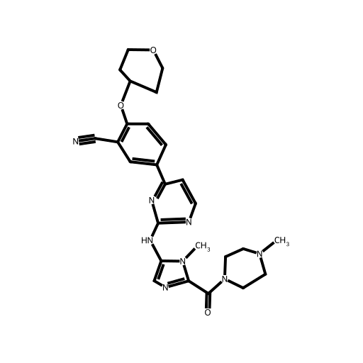 CN1CCN(C(=O)c2ncc(Nc3nccc(-c4ccc(OC5CCOCC5)c(C#N)c4)n3)n2C)CC1